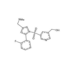 CNCc1cc(-c2ccccc2F)n(S(=O)(=O)c2cncc(CO)c2)c1